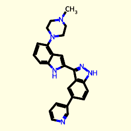 CN1CCN(c2cccc3[nH]c(-c4n[nH]c5ccc(-c6cccnc6)cc45)cc23)CC1